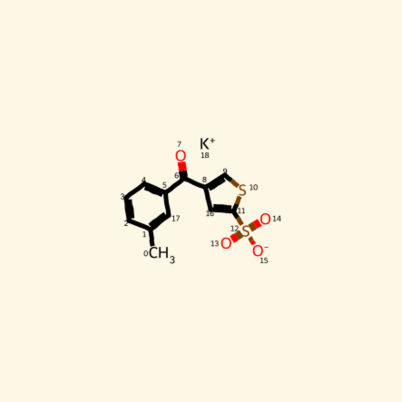 Cc1cccc(C(=O)c2csc(S(=O)(=O)[O-])c2)c1.[K+]